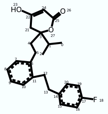 CC(C)C1(CCc2ccccc2CCc2ccc(F)cc2)CC(O)=CC(=O)O1